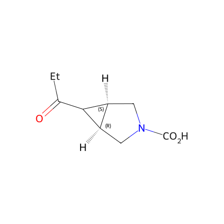 CCC(=O)C1[C@H]2CN(C(=O)O)C[C@@H]12